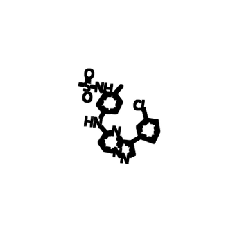 Cc1ccc(Nc2ccn3ncc(-c4cccc(Cl)c4)c3n2)cc1NS(C)(=O)=O